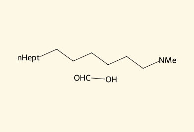 CCCCCCCCCCCCCNC.O=CO